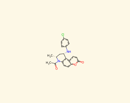 CC(=O)N1c2ccc3oc(=O)ccc3c2[C@@H](Nc2ccc(Cl)cc2)C[C@H]1C